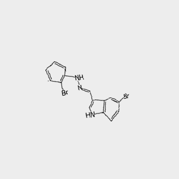 Brc1ccc2[nH]cc(/C=N/Nc3ccc[c]c3Br)c2c1